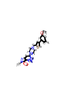 CCCNC(=O)c1ccc(N2CCN(Cc3cc(-c4cccc(OCC)c4)cs3)CC2)nn1